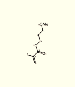 [CH2]OCCCOC(=O)C(=C)C